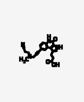 CN(CC#Cc1ccc2[nH]c(=O)c3[nH]cc(CCC(=O)O)c3c2c1)CCC#N